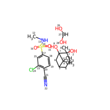 CC1(O)CCC2CC1(O)C2(C)C.CNS(=O)(=O)c1ccc(C#N)c(Cl)c1.OBO